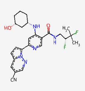 CC(C)(F)[C@H](F)CNC(=O)c1cnc(-c2ccc3cc(C#N)cnn23)cc1N[C@H]1CCC[C@@H](O)C1